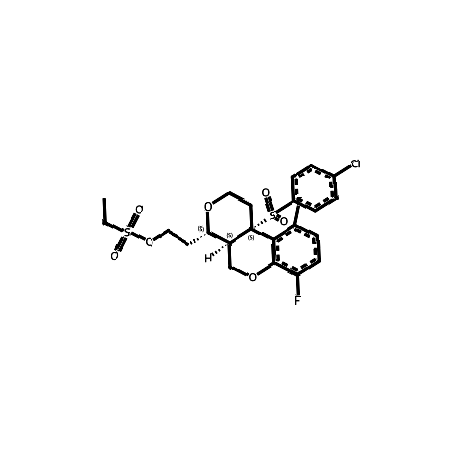 CCS(=O)(=O)OCC[C@@H]1OCC[C@@]2(S(=O)(=O)c3ccc(Cl)cc3)c3c(F)ccc(F)c3OC[C@@H]12